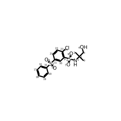 CC(C)(CO)NS(=O)(=O)c1cc(S(=O)(=O)c2ccccc2)ccc1Cl